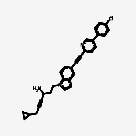 NC(C#CCC1CC1)CCn1ccc2cc(C#Cc3ccc(-c4ccc(Cl)cc4)cn3)ccc21